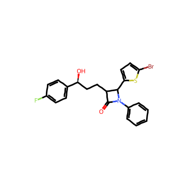 O=C1C(CC[C@H](O)c2ccc(F)cc2)C(c2ccc(Br)s2)N1c1ccccc1